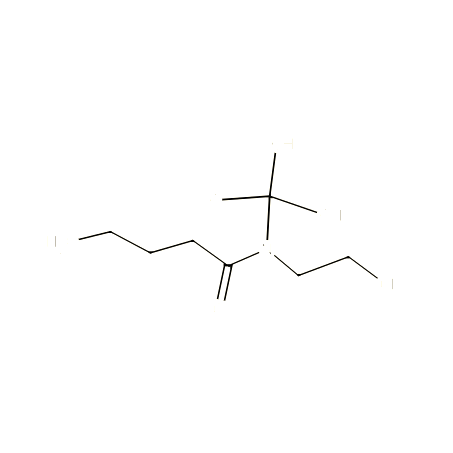 [CH2]CCCC(=O)N(CCC)C(C)(C)C